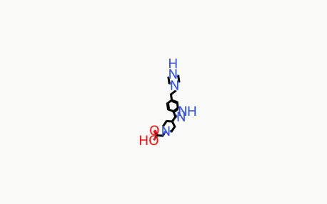 O=C(O)CN1CCC(c2n[nH]c3cc(CCN4CCNCC4)ccc23)CC1